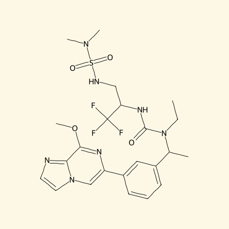 CCN(C(=O)NC(CNS(=O)(=O)N(C)C)C(F)(F)F)C(C)c1cccc(-c2cn3ccnc3c(OC)n2)c1